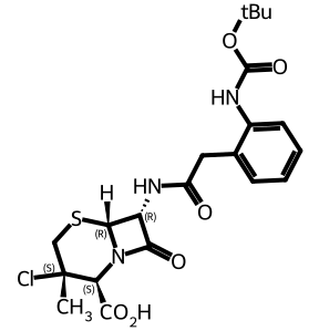 CC(C)(C)OC(=O)Nc1ccccc1CC(=O)N[C@@H]1C(=O)N2[C@@H]1SC[C@@](C)(Cl)[C@@H]2C(=O)O